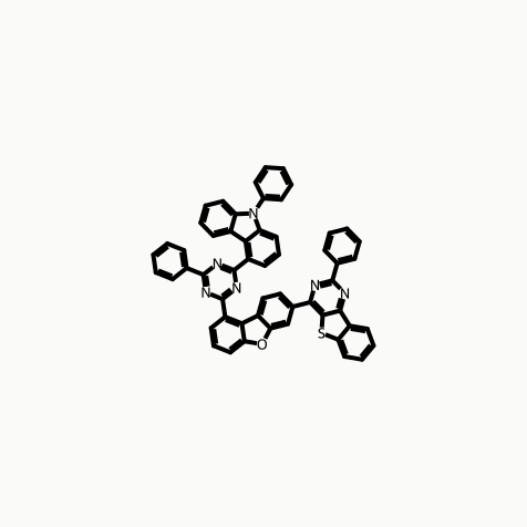 c1ccc(-c2nc(-c3cccc4oc5cc(-c6nc(-c7ccccc7)nc7c6sc6ccccc67)ccc5c34)nc(-c3cccc4c3c3ccccc3n4-c3ccccc3)n2)cc1